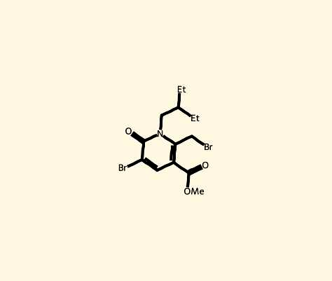 CCC(CC)Cn1c(CBr)c(C(=O)OC)cc(Br)c1=O